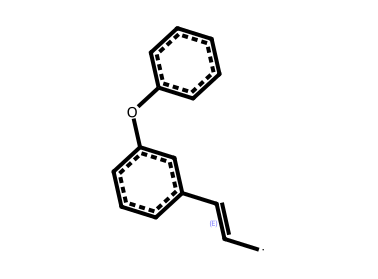 [CH2]/C=C/c1cccc(Oc2ccccc2)c1